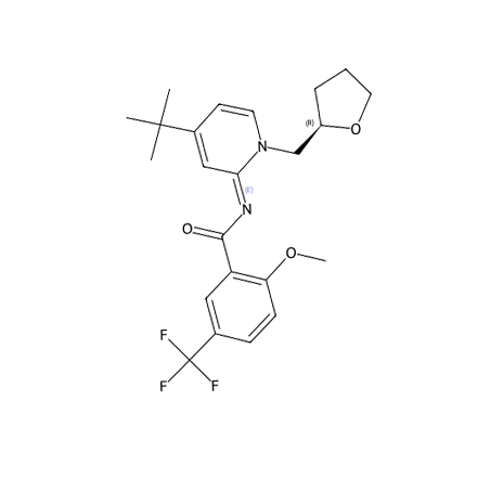 COc1ccc(C(F)(F)F)cc1C(=O)/N=c1\cc(C(C)(C)C)ccn1C[C@H]1CCCO1